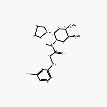 CO[C@H]1C[C@@H](N(C)C(=O)COc2cccc(F)c2)[C@H](N2CCCC2)C[C@H]1OC